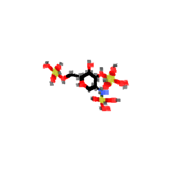 O=S(=O)(O)N[C@@H]1[CH]O[C@H](COS(=O)(=O)O)[C@@H](O)[C@@H]1OS(=O)(=O)O